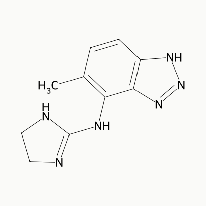 Cc1ccc2[nH]nnc2c1NC1=NCCN1